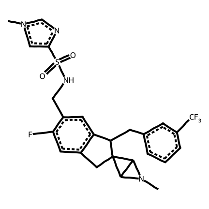 CN1C2C1C21Cc2cc(F)c(CNS(=O)(=O)c3cn(C)cn3)cc2C1Cc1cccc(C(F)(F)F)c1